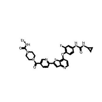 CCNC(=O)N1CCN(C(=O)c2ccc(-c3cc4nccc(Oc5ccc(NC(=O)NC6CC6)cc5F)c4s3)nc2)CC1